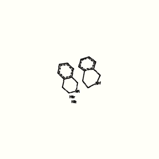 Br.Br.c1ccc2c(c1)CCNC2.c1ccc2c(c1)CCNC2